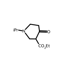 CCOC(=O)C1CN(C(C)C)CCC1=O